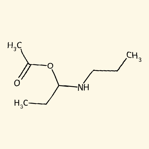 CCCNC(CC)OC(C)=O